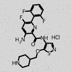 Cl.Nc1cc(F)c(-c2c(F)cccc2F)nc1C(=O)Nc1cnsc1OCC1CCNCC1